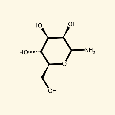 NC1O[C@@H](CO)[C@H](O)[C@@H](O)[C@H]1O